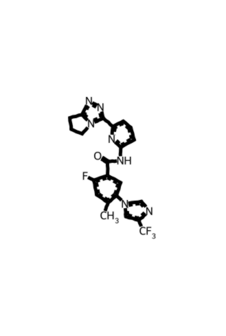 Cc1cc(F)c(C(=O)Nc2cccc(-c3nnc4n3CCC4)n2)cc1-n1cnc(C(F)(F)F)c1